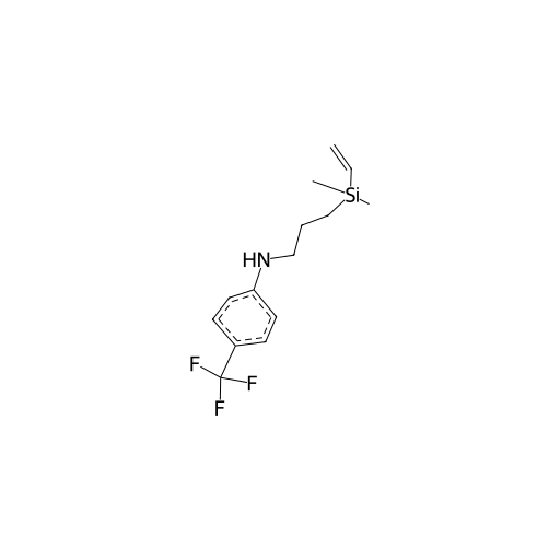 C=C[Si](C)(C)CCCNc1ccc(C(F)(F)F)cc1